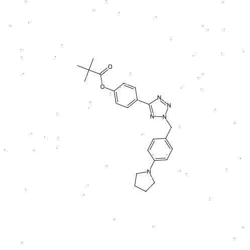 CC(C)(C)C(=O)Oc1ccc(-c2nnn(Cc3ccc(N4CCCC4)cc3)n2)cc1